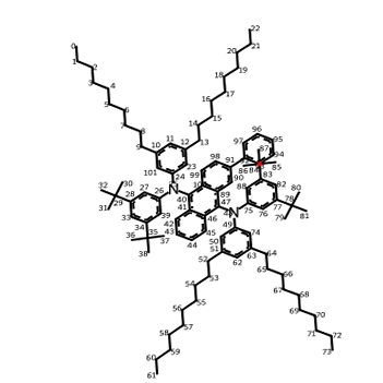 CCCCCCCCCCc1cc(CCCCCCCCCC)cc(N(c2cc(C(C)(C)C)cc(C(C)(C)C)c2)c2c3ccccc3c(N(c3cc(CCCCCCCCCC)cc(CCCCCCCCCC)c3)c3cc(C(C)(C)C)cc(C(C)(C)C)c3)c3cc(-c4ccccc4)ccc23)c1